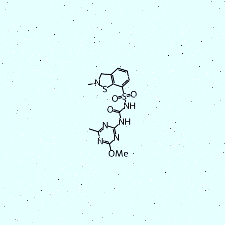 COc1nc(C)nc(NC(=O)NS(=O)(=O)c2cccc3c2SN(C)C3)n1